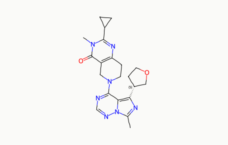 Cc1nc([C@@H]2CCOC2)c2c(N3CCc4nc(C5CC5)n(C)c(=O)c4C3)ncnn12